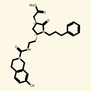 COC(=O)C[C@@H]1C[C@@H](CCNC(=O)N2CCc3ccc(C#N)cc3C2)N(CCCc2ccccc2)C1=O